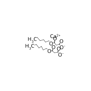 CCCCCCOC(=O)CC(=O)[O-].CCCCCCOC(=O)CC(=O)[O-].[Ca+2]